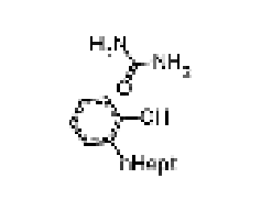 CCCCCCCc1ccccc1O.NC(N)=O